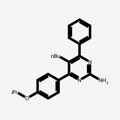 CCCCc1c(-c2ccccc2)nc(N)nc1-c1ccc(OC(C)C)cc1